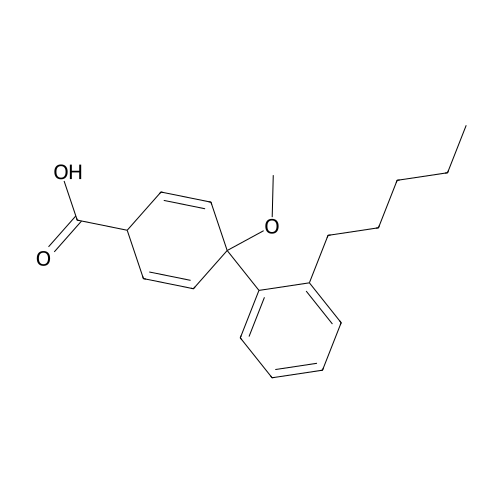 CCCCCc1ccccc1C1(OC)C=CC(C(=O)O)C=C1